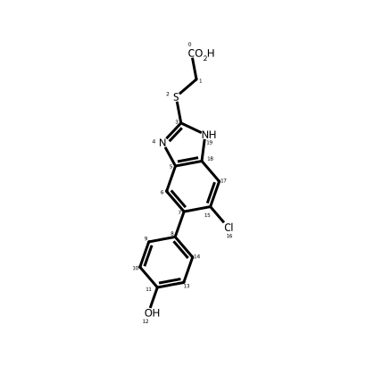 O=C(O)CSc1nc2cc(-c3ccc(O)cc3)c(Cl)cc2[nH]1